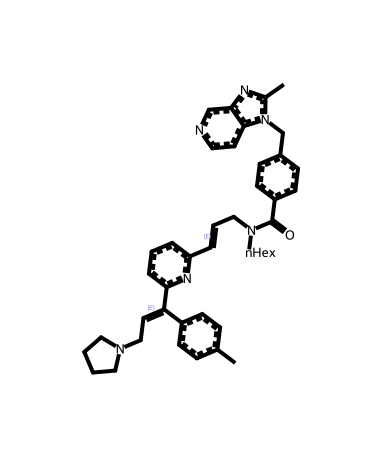 CCCCCCN(C/C=C/c1cccc(/C(=C/CN2CCCC2)c2ccc(C)cc2)n1)C(=O)c1ccc(Cn2c(C)nc3cnccc32)cc1